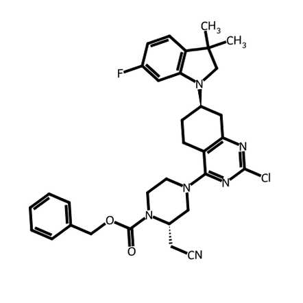 CC1(C)CN([C@@H]2CCc3c(nc(Cl)nc3N3CCN(C(=O)OCc4ccccc4)[C@@H](CC#N)C3)C2)c2cc(F)ccc21